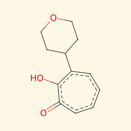 O=c1ccccc(C2CCOCC2)c1O